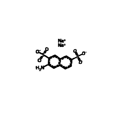 Nc1cc2ccc(S(=O)(=O)[O-])cc2cc1S(=O)(=O)[O-].[Na+].[Na+]